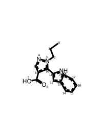 CCCn1ncc(C(=O)O)c1-c1cc2ccccc2[nH]1